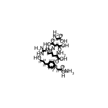 N.N=C(N)NCCCC(N)C(=O)O.NC(CC(=O)O)C(=O)O.NCC(=O)O.NCC(=O)O.OCCCc1ccccc1